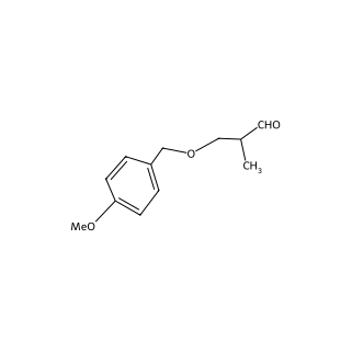 COc1ccc(COCC(C)C=O)cc1